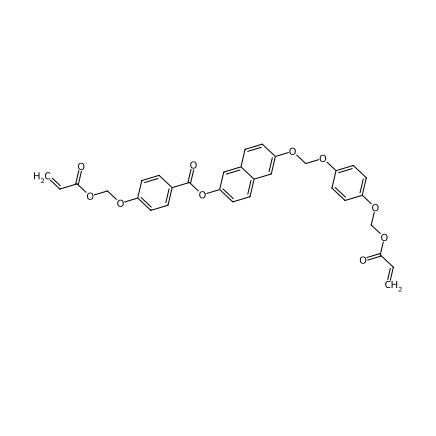 C=CC(=O)OCOc1ccc(OCOc2ccc3cc(OC(=O)c4ccc(OCOC(=O)C=C)cc4)ccc3c2)cc1